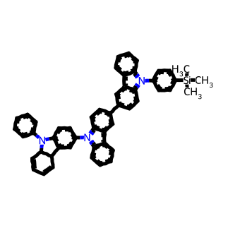 C[Si](C)(C)c1ccc(-n2c3ccccc3c3cc(-c4ccc5c(c4)c4ccccc4n5-c4ccc5c(c4)C4C=CC=CC4N5c4ccccc4)ccc32)cc1